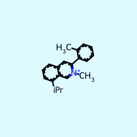 Cc1ccccc1-c1cc2cccc(C(C)C)c2c[n+]1C